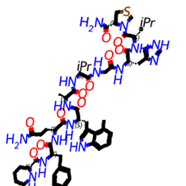 Cc1cccc2[nH]cc(C[C@H](NC(=O)[C@H](CCC(N)=O)NC(=O)[C@@H](Cc3ccccc3)NC(=O)[C@@H]3CCCCN3)C(=O)N[C@@H](C)C(=O)N[C@H](C(=O)NCC(=O)N[C@@H](Cc3c[nH]cn3)C(=O)N[C@@H](CC(C)C)C(=O)N3CSC[C@H]3C(N)=O)C(C)C)c12